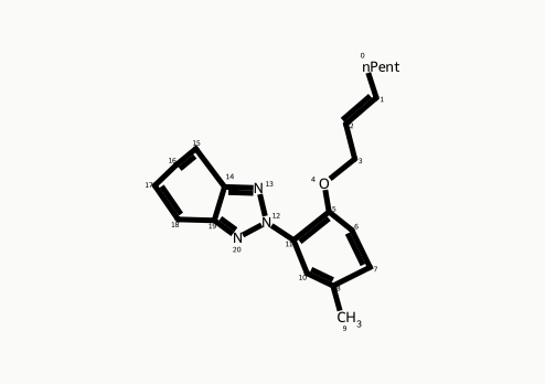 CCCCCC=CCOc1ccc(C)cc1-n1nc2ccccc2n1